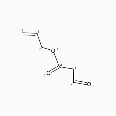 C=CCOC(=O)CC=O